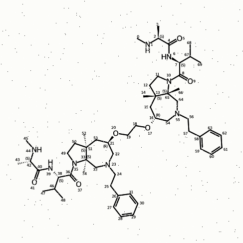 CN[C@@H](C)C(=O)N[C@H](C(=O)N1CC[C@@]2(C)C[C@@H](OCCO[C@H]3CN(CCc4ccccc4)C[C@@]4(C)N(C(=O)[C@@H](NC(=O)[C@H](C)NC)C(C)C)CC[C@@]4(C)C3)CN(CCc3ccccc3)C[C@@]12C)C(C)C